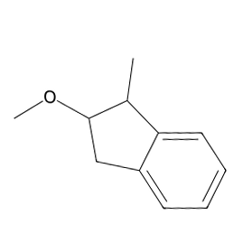 COC1Cc2ccccc2C1C